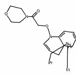 CCC1N=C2C=CC=C3N(OCC(=O)N4CCOCC4)C=CCC32N1CC(C)C